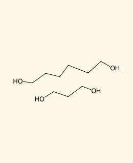 OCCCCCCO.OCCCO